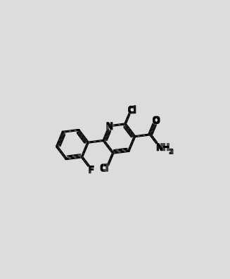 NC(=O)c1cc(Cl)c(-c2ccccc2F)nc1Cl